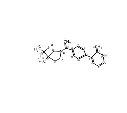 C=C1NC=CC=C1c1ccc(C(=C)N2CCC(C)(C(C)(F)F)C2)cc1